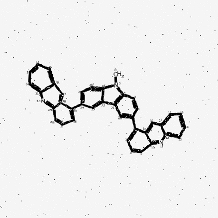 Cn1c2ccc(-c3cccc4nc5ccccc5cc34)cc2c2cc(-c3cccc4nc5ccccc5cc34)ccc21